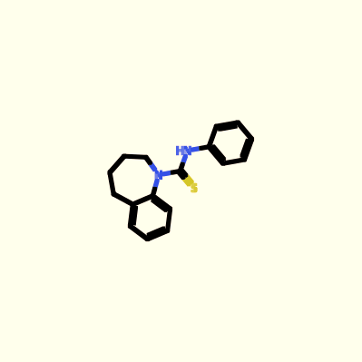 S=C(Nc1ccccc1)N1CCCCc2ccccc21